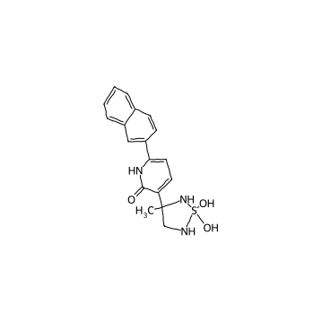 CC1(c2ccc(-c3ccc4ccccc4c3)[nH]c2=O)CNS(O)(O)N1